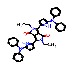 CCN1C(=O)C2=C(c3ccc(N(c4ccccc4)c4ccccc4)[nH]3)N(CC)C(=O)C2=C1c1ccc(N(c2ccccc2)c2ccccc2)[nH]1